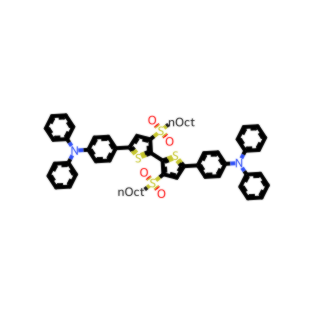 CCCCCCCCS(=O)(=O)c1cc(-c2ccc(N(c3ccccc3)c3ccccc3)cc2)sc1-c1sc(-c2ccc(N(c3ccccc3)c3ccccc3)cc2)cc1S(=O)(=O)CCCCCCCC